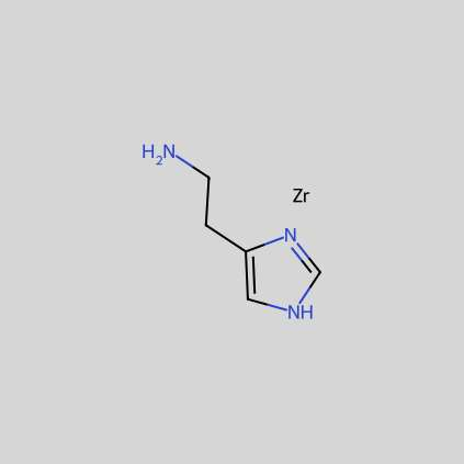 NCCc1c[nH]cn1.[Zr]